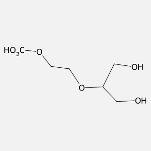 O=C(O)OCCOC(CO)CO